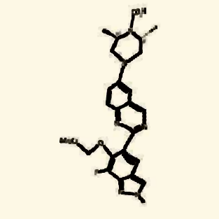 COCOc1c(-c2ncc3cc(N4C[C@@H](C)N(C(=O)O)[C@H](C)C4)ccc3n2)cc2cn(C)nc2c1F